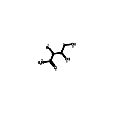 NC(=O)C(Br)C(O)CO